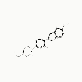 COc1ccc2[nH]c(-c3ccc(N4CCC(CO)CC4)nc3F)cc2c1